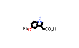 CCOc1ccc2[nH]cc(CC(=O)O)c2c1